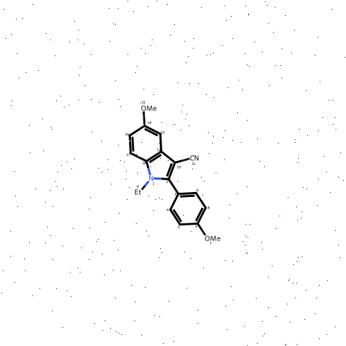 CCn1c(-c2ccc(OC)cc2)c(C#N)c2cc(OC)ccc21